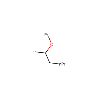 [CH2]C(CCCC)OC(C)C